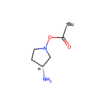 CC(C)(C)C(=O)ON1CC[C@@H](N)C1